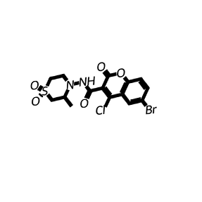 CC1CS(=O)(=O)CCN1NC(=O)c1c(Cl)c2cc(Br)ccc2oc1=O